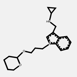 c1ccc2c(c1)c(CNC1CC1)cn2CCCOC1CCCCO1